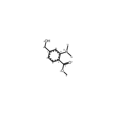 COC(=O)c1ccc(CO)cc1N(C)C